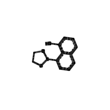 Oc1cccc2cccc(B3OCCO3)c12